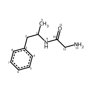 CC(Cc1ccccc1)NC(=O)CN